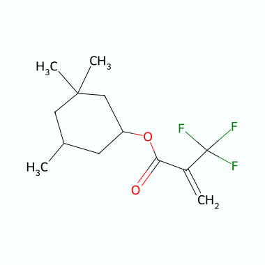 C=C(C(=O)OC1CC(C)CC(C)(C)C1)C(F)(F)F